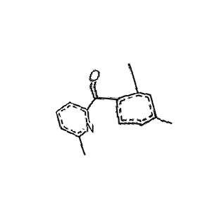 Cc1ccc(C(=O)c2cccc(C)n2)c(C)c1